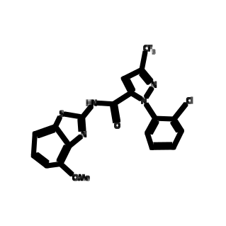 COc1cccc2sc(NC(=O)c3cc(C(F)(F)F)nn3-c3ccccc3Cl)nc12